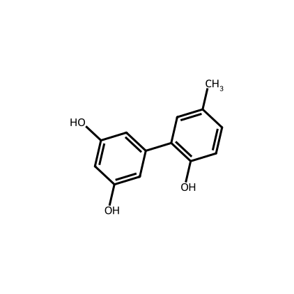 Cc1ccc(O)c(-c2cc(O)cc(O)c2)c1